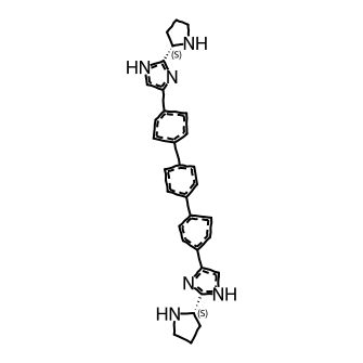 c1cc(-c2ccc(-c3c[nH]c([C@@H]4CCCN4)n3)cc2)ccc1-c1ccc(-c2c[nH]c([C@@H]3CCCN3)n2)cc1